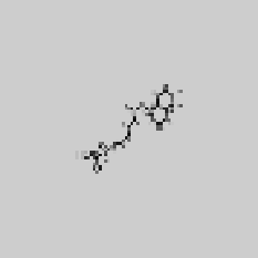 CN(C/C=C/C#CC(C)(C)C(=O)O)Cc1cccc2ccccc12